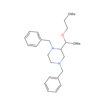 COCCOC(OC)C1CN(Cc2ccccc2)CCN1Cc1ccccc1